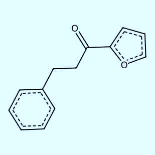 O=C(CCc1ccccc1)c1ccco1